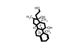 C[C@@H]1C[C@H]2[C@@H]3CCC4=CCC=C[C@]4(C)[C@@]3(F)[C@@H](O)C[C@]2(C)[C@@]1(O)CCO